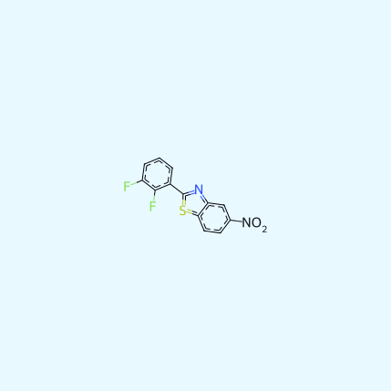 O=[N+]([O-])c1ccc2sc(-c3cccc(F)c3F)nc2c1